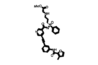 COC(=O)CNCCC[S@@](=O)(=NC(=O)c1cncc(C#Cc2cccc(NC(=O)c3occc3C)c2)c1)c1ccccc1